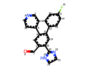 O=Cc1cc(-c2ccncc2)c(-c2ccc(F)cc2)cc1-c1ncc[nH]1